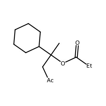 [CH2]CC(=O)OC(C)(CC(C)=O)C1CCCCC1